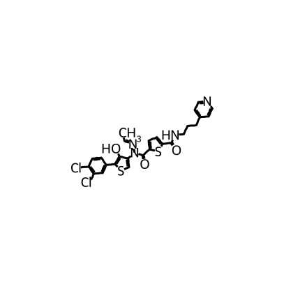 CC=NN(C(=O)c1ccc(C(=O)NCCCc2ccncc2)s1)c1csc(-c2ccc(Cl)c(Cl)c2)c1O